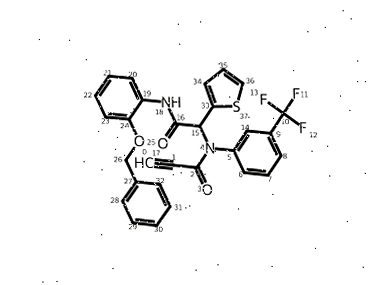 C#CC(=O)N(c1cccc(C(F)(F)F)c1)C(C(=O)Nc1ccccc1OCc1ccccc1)c1cccs1